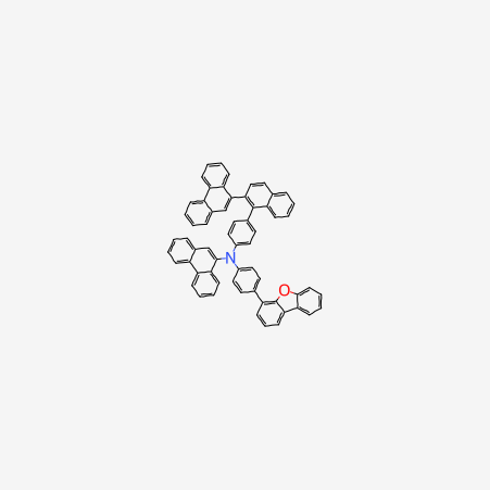 c1ccc2c(-c3ccc(N(c4ccc(-c5cccc6c5oc5ccccc56)cc4)c4cc5ccccc5c5ccccc45)cc3)c(-c3cc4ccccc4c4ccccc34)ccc2c1